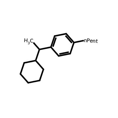 CCCCCc1ccc(C(C)C2CCCCC2)cc1